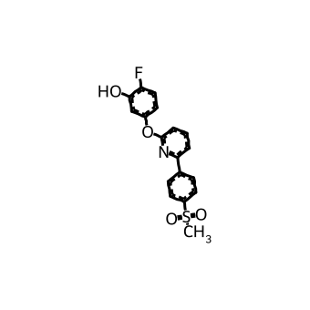 CS(=O)(=O)c1ccc(-c2cccc(Oc3ccc(F)c(O)c3)n2)cc1